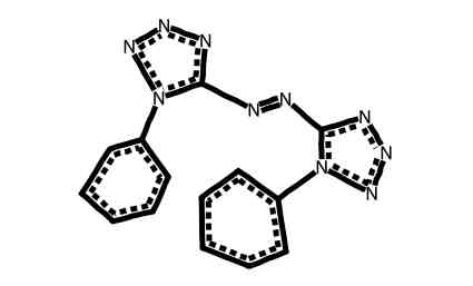 c1ccc(-n2nnnc2N=Nc2nnnn2-c2ccccc2)cc1